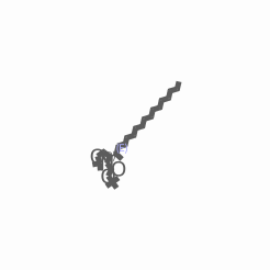 CCCCCCCCCCCCC/C=C/C(C)[C@@H]1COC(C)(C)N1C(=O)OC(C)(C)C